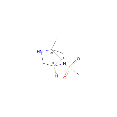 CS(=O)(=O)N1C[C@H]2C[C@@H]1CN2